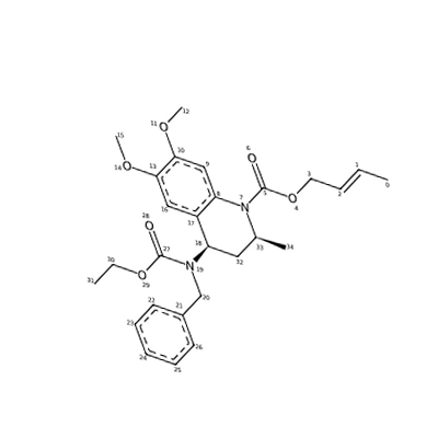 C/C=C/COC(=O)N1c2cc(OC)c(OC)cc2[C@H](N(Cc2ccccc2)C(=O)OCC)C[C@@H]1C